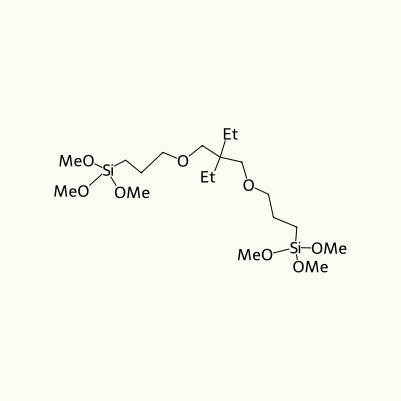 CCC(CC)(COCCC[Si](OC)(OC)OC)COCCC[Si](OC)(OC)OC